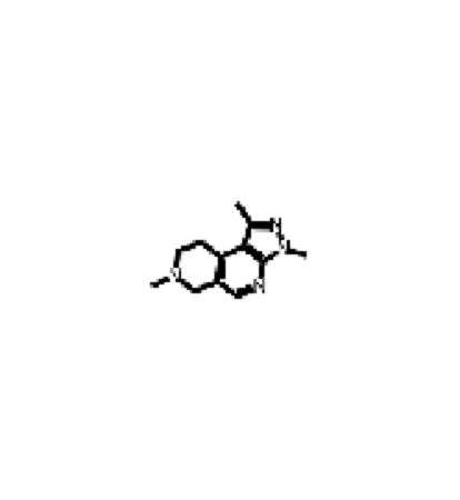 Cc1nn(C)c2ncc3c(c12)CCN(C)C3